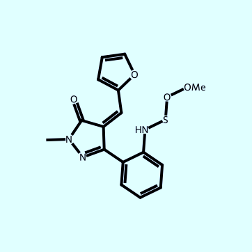 COOSNc1ccccc1C1=NN(C)C(=O)C1=Cc1ccco1